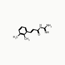 Cc1cccc(/C=C/C(=O)NC(=N)N)c1C